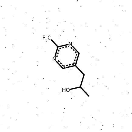 C[C](O)Cc1cnc(C(F)(F)F)nc1